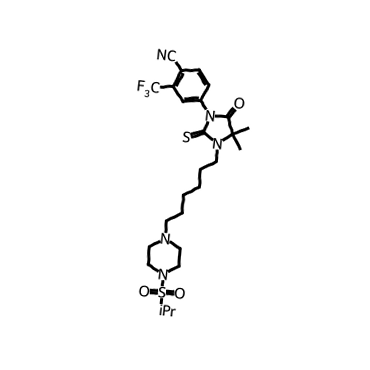 CC(C)S(=O)(=O)N1CCN(CCCCCCN2C(=S)N(c3ccc(C#N)c(C(F)(F)F)c3)C(=O)C2(C)C)CC1